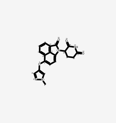 Cn1cc(Oc2ccc3c4c(cccc24)C(=O)N3C2CCC(=O)NC2=O)cn1